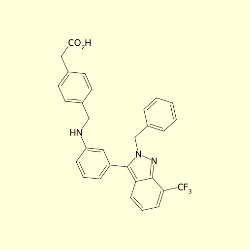 O=C(O)Cc1ccc(CNc2cccc(-c3c4cccc(C(F)(F)F)c4nn3Cc3ccccc3)c2)cc1